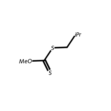 COC(=S)SCC(C)C